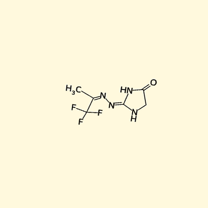 CC(=NN=C1NCC(=O)N1)C(F)(F)F